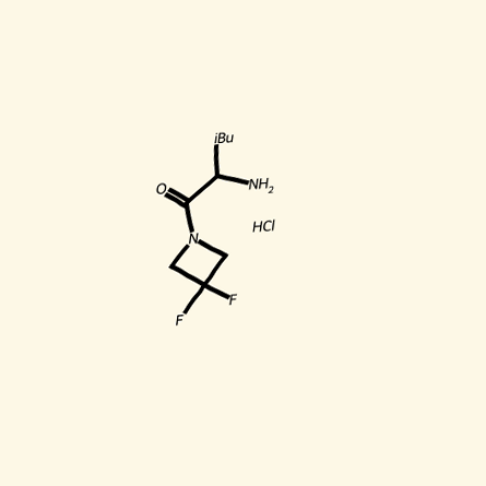 CCC(C)C(N)C(=O)N1CC(F)(F)C1.Cl